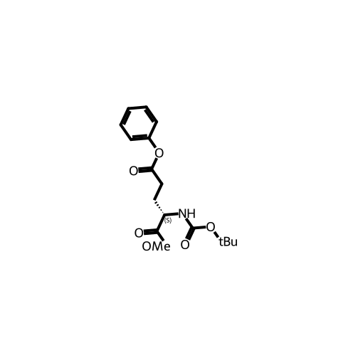 COC(=O)[C@H](CCC(=O)Oc1ccccc1)NC(=O)OC(C)(C)C